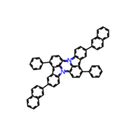 c1ccc(-c2ccc3c4c2c2cc(-c5ccc6ccccc6c5)ccc2n4c2ccc(-c4ccccc4)c4c5cc(-c6ccc7ccccc7c6)ccc5n3c42)cc1